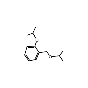 CC(C)OCc1ccccc1OC(C)C